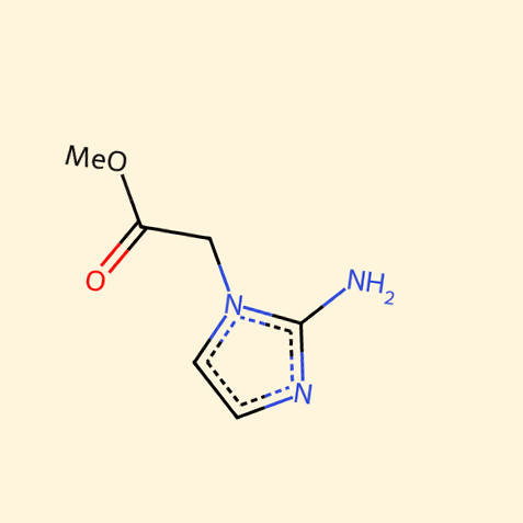 COC(=O)Cn1ccnc1N